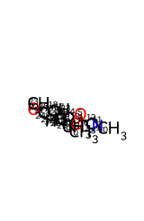 CCC1(OC(=O)C2CCN(C)CC2)CC[C@H]2[C@@H]3CCc4cc(OC)ccc4[C@H]3CC[C@@]21C